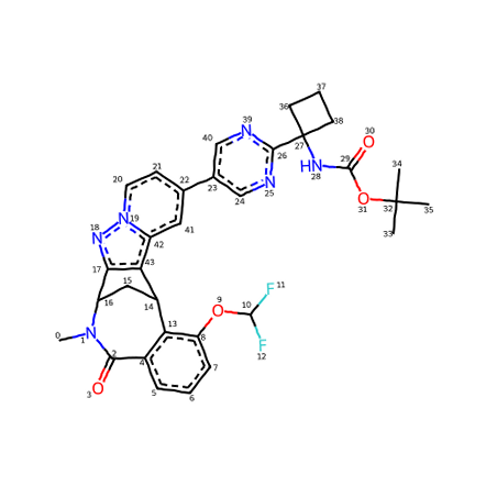 CN1C(=O)c2cccc(OC(F)F)c2C2CC1c1nn3ccc(-c4cnc(C5(NC(=O)OC(C)(C)C)CCC5)nc4)cc3c12